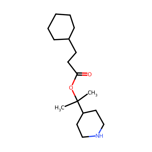 CC(C)(OC(=O)CCC1CCCCC1)C1CCNCC1